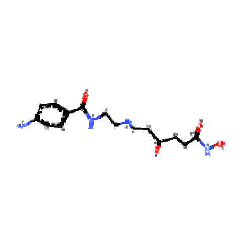 Nc1ccc(C(=O)NCCNCCC(=O)CCC(=O)NO)cc1